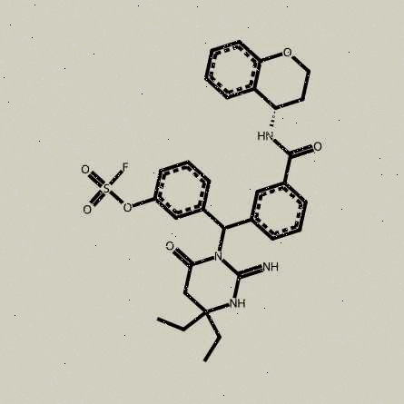 CCC1(CC)CC(=O)N(C(c2cccc(OS(=O)(=O)F)c2)c2cccc(C(=O)N[C@H]3CCOc4ccccc43)c2)C(=N)N1